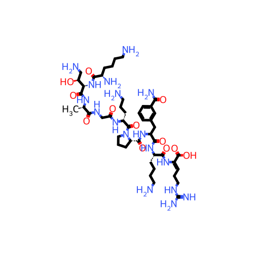 C[C@H](NC(=O)[C@@H](NC(=O)[C@@H](N)CCCCN)[C@@H](O)CN)C(=O)NCC(=O)N[C@H](CCCN)C(=O)N1CCC[C@H]1C(=O)NC(Cc1cccc(C(N)=O)c1)C(=O)N[C@@H](CCCCN)C(=O)N/C(=C\CCNC(=N)N)C(=O)O